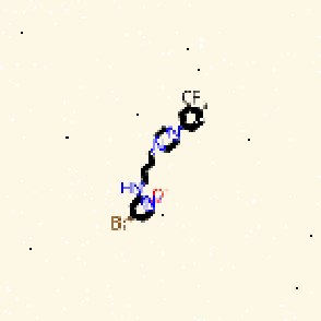 [O-][n+]1ccc(Br)cc1NCCCCN1CCN(c2cccc(C(F)(F)F)c2)CC1